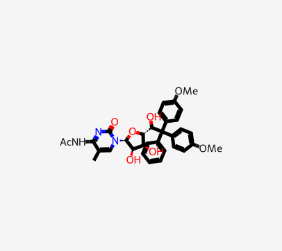 COc1ccc(C(c2ccccc2)(c2ccc(OC)cc2)C(O)[C@H]2O[C@@H](n3cc(C)c(NC(C)=O)nc3=O)[C@H](O)[C@@H]2O)cc1